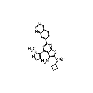 Cn1nccc1-c1cc(-c2ccc3cncnc3c2)nc2sc([S+]([O-])C3CCC3)c(N)c12